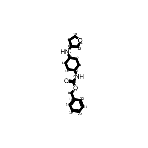 O=C(NC1CCC(NC2CCOC2)CC1)OCc1ccccc1